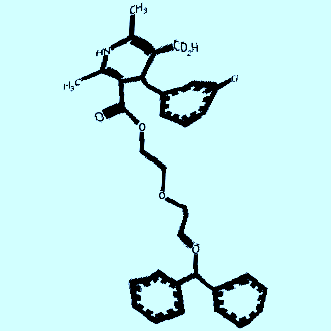 CC1=C(C(=O)O)C(c2cccc(Cl)c2)C(C(=O)OCCOCCOC(c2ccccc2)c2ccccc2)=C(C)N1